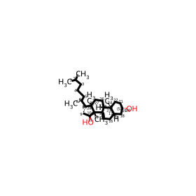 CC(C)CCC[C@@H](C)[C@H]1CC(O)[C@@]2(C)C3=CC[C@H]4C[C@@H](O)CC[C@]4(C)[C@H]3CC[C@]12C